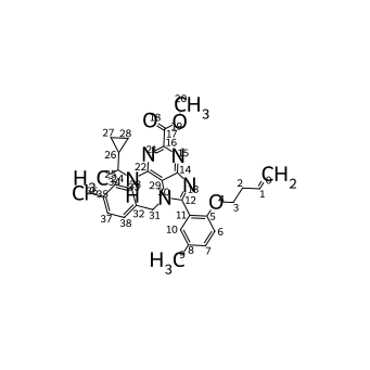 C=CCCOc1ccc(C)cc1-c1nc2nc(C(=O)OC)nc(NC(C)C3CC3)c2n1Cc1ccc(Cl)cc1